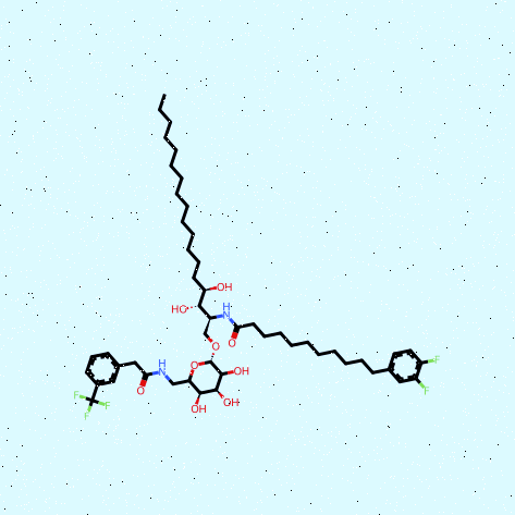 CCCCCCCCCCCCCC[C@@H](O)[C@@H](O)[C@H](CO[C@H]1OC(CNC(=O)Cc2cccc(C(F)(F)F)c2)[C@H](O)[C@H](O)C1O)NC(=O)CCCCCCCCCCc1ccc(F)c(F)c1